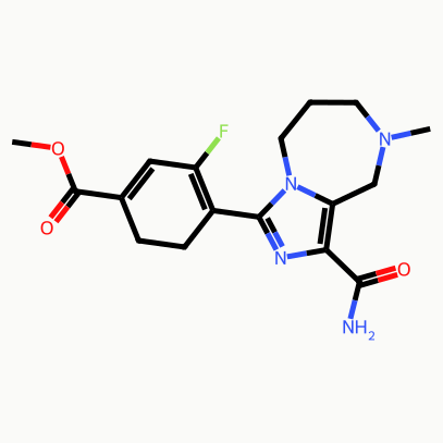 COC(=O)C1=CC(F)=C(c2nc(C(N)=O)c3n2CCCN(C)C3)CC1